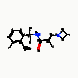 COc1c(C)cccc1C(C)(C)NC(=O)C(C)CN1CCC1